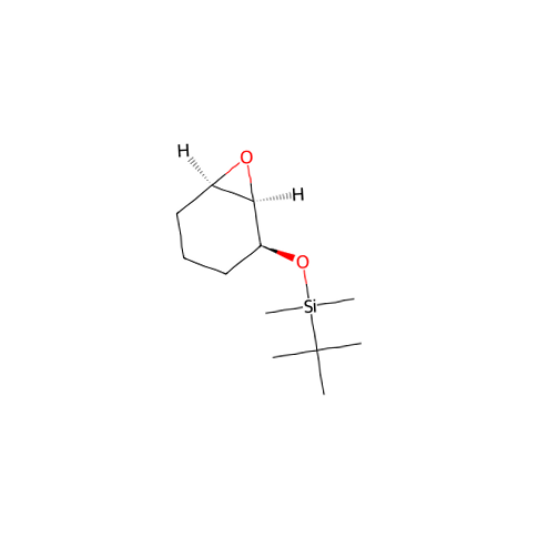 CC(C)(C)[Si](C)(C)O[C@H]1CCC[C@H]2O[C@@H]12